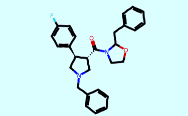 O=C([C@@H]1CN(Cc2ccccc2)C[C@H]1c1ccc(F)cc1)N1CCOC1Cc1ccccc1